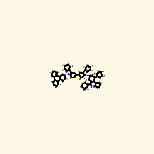 c1ccc(-c2nc3ccccc3c3c2cc(-n2c4ccccc4c4cc(-c5ccc6c(c5)c5ccccc5n6-c5ccc6c7ccccc7c7ccccc7c6c5)ccc42)c2oc4ccccc4c23)cc1